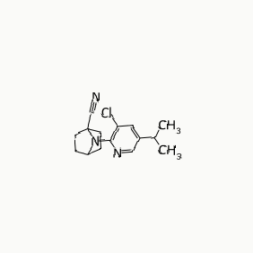 CC(C)c1cnc(N2C3CCC2(C#N)CC3)c(Cl)c1